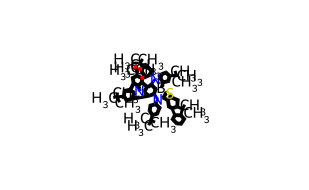 CC(C)(C)c1ccc(N2c3ccc(C(C)(C)C)cc3B3c4sc5cc6c(cc5c4N(c4ccc(C(C)(C)C)cc4)c4c3c2c2c3cc(C(C)(C)C)cc5c7cc(C(C)(C)C)cc8c4c2n(c53)c78)-c2ccccc2C6(C)C)cc1